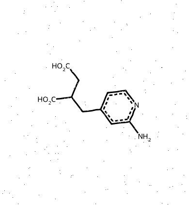 Nc1cc(CC(CC(=O)O)C(=O)O)ccn1